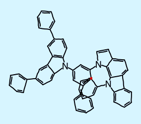 c1ccc(-c2cc(-n3ccc4ccc5c6ccccc6n(-c6ccccc6)c5c43)cc(-n3c4ccc(-c5ccccc5)cc4c4cc(-c5ccccc5)ccc43)c2)cc1